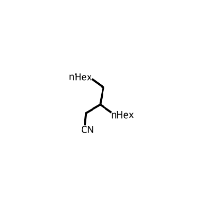 CCCCCCCC(CC#N)CCCCCC